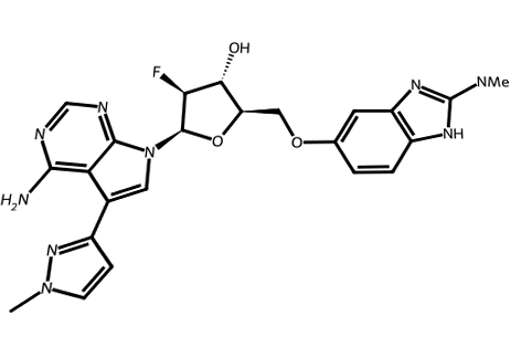 CNc1nc2cc(OC[C@H]3O[C@@H](n4cc(-c5ccn(C)n5)c5c(N)ncnc54)[C@@H](F)[C@@H]3O)ccc2[nH]1